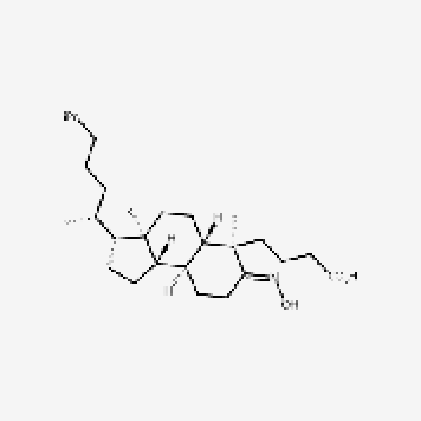 CC(C)CCC[C@@H](C)[C@H]1CC[C@H]2[C@@H]3CCC(=NO)[C@](C)(CCCC(=O)O)[C@H]3CC[C@]12C